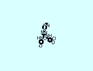 COc1ccc(CNc2nc(N3CCn4ccnc4C3)ncc2C(=O)N[C@H]2CC[C@H](OC)CC2)cc1Cl